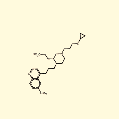 COc1ccc2nccc(CCC[C@@H]3CCN(CCCSC4CC4)C[C@@H]3CCC(=O)O)c2c1